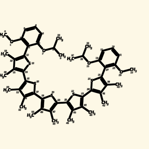 COc1cccc(OC(C)C)c1-c1sc(-c2sc(-c3sc(-c4sc(-c5sc(-c6c(OC)cccc6OC(C)C)c(C)c5C)c(C)c4C)c(C)c3C)c(C)c2C)c(C)c1C